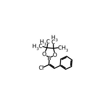 CC1(C)OB(/C(Cl)=C\c2ccccc2)OC1(C)C